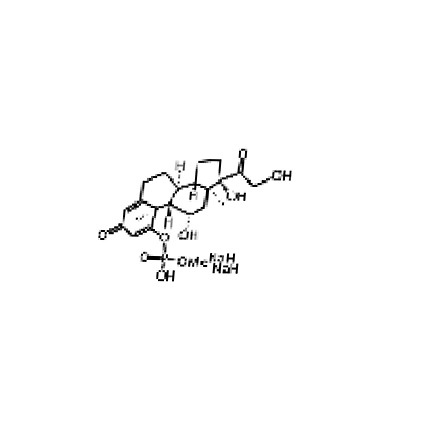 COP(=O)(O)OC1=CC(=O)C=C2CC[C@@H]3[C@H]([C@@H](O)C[C@@]4(C)[C@H]3CC[C@]4(O)C(=O)CO)[C@]21C.[NaH].[NaH]